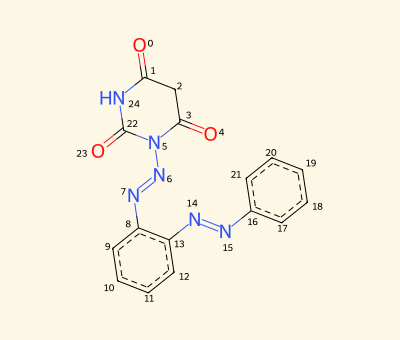 O=C1CC(=O)N(N=Nc2ccccc2N=Nc2ccccc2)C(=O)N1